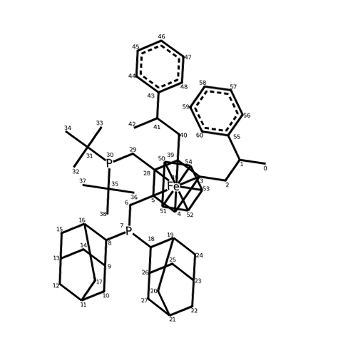 CC(C[C]12[CH]3[C]4(CP(C5C6CC7CC(C6)CC5C7)C5C6CC7CC(C6)CC5C7)[C]5(CP(C(C)(C)C)C(C)(C)C)[C]1(CC(C)c1ccccc1)[Fe]32451678[CH]2[CH]1[CH]6[CH]7[CH]28)c1ccccc1